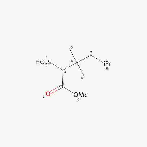 COC(=O)C(C(C)(C)CC(C)C)S(=O)(=O)O